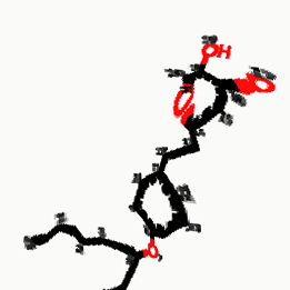 CCCCC(CC)Oc1ccc(C=Cc2cc(=O)c(O)co2)cc1